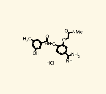 CNC(=O)COc1cc(C(=N)N)ccc1CNC(=O)c1cc(C)cc(O)c1.Cl